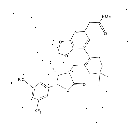 CNC(=O)Cc1cc2c(c(C3=C(CN4C(=O)O[C@H](c5cc(C(F)(F)F)cc(C(F)(F)F)c5)[C@@H]4C)CC(C)(C)CC3)c1)OCO2